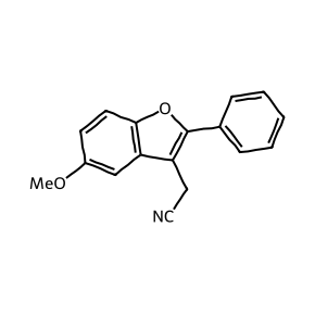 COc1ccc2oc(-c3ccccc3)c(CC#N)c2c1